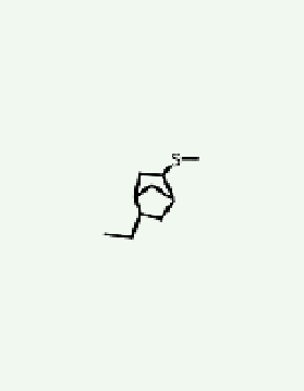 CCC1CC2CC1CC2SC